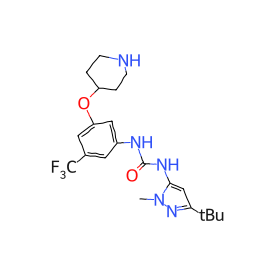 Cn1nc(C(C)(C)C)cc1NC(=O)Nc1cc(OC2CCNCC2)cc(C(F)(F)F)c1